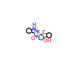 O=C(c1n[nH]c2ccccc12)N1CCC(O)(c2ccccc2C(F)(F)F)CC1